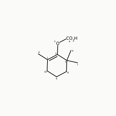 CC1=C(OC(=O)O)C(C)(C)CCC1